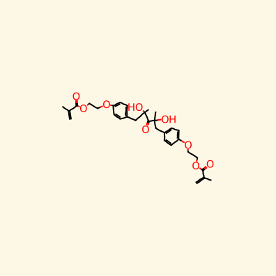 C=C(C)C(=O)OCCOc1ccc(CC(C)(O)C(=O)C(C)(O)Cc2ccc(OCCOC(=O)C(=C)C)cc2)cc1